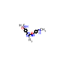 CNCc1ccc(-c2nnc(-c3nc(-c4ccc(C(=O)NC)cc4)cnc3C)o2)cc1